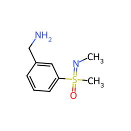 CN=S(C)(=O)c1cccc(CN)c1